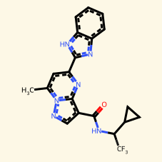 Cc1cc(-c2nc3ccccc3[nH]2)nc2c(C(=O)NC(C3CC3)C(F)(F)F)cnn12